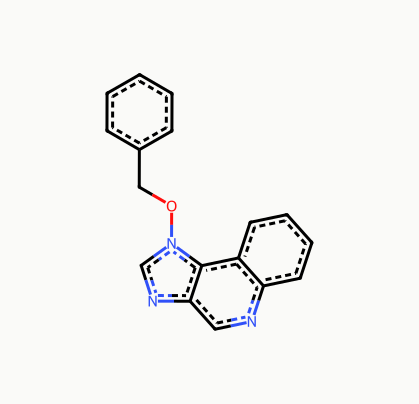 c1ccc(COn2cnc3cnc4ccccc4c32)cc1